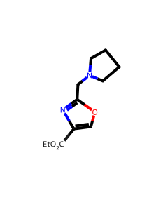 CCOC(=O)c1coc(CN2CCCC2)n1